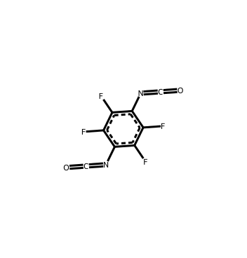 O=C=Nc1c(F)c(F)c(N=C=O)c(F)c1F